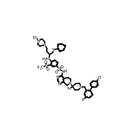 [2H]C1(N2CCc3c(ncnc3NS(=O)(=O)c3ccc([AsH]C(CCN4CCN(CC)CC4)CSc4ccccc4)c(S(=O)(=O)C(F)(F)F)c3)C2)CCN(Cc2cc(F)ccc2-c2ccc(Cl)cc2)CC1